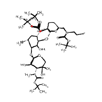 CN(C(=O)OC(C)(C)C)[C@@H]1C(O)[C@@H](OC2C(O)C(O[C@H]3O[C@H](CN(CCF)C(=O)OC(C)(C)C)CCC3NC(=O)OC(C)(C)C)[C@@H](NC(=O)OC(C)(C)C)C[C@H]2N)OCC1(C)O